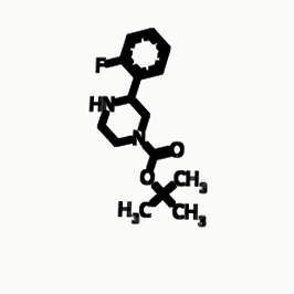 CC(C)(C)OC(=O)N1CCNC(c2ccccc2F)C1